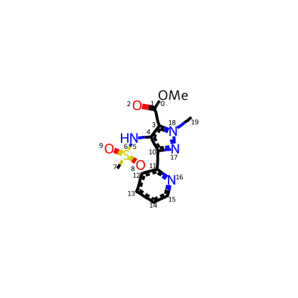 COC(=O)c1c(NS(C)(=O)=O)c(-c2ccccn2)nn1C